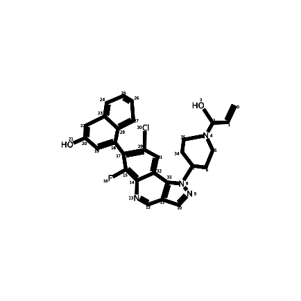 C=CC(O)N1CCC(n2ncc3cnc4c(F)c(-c5cc(O)cc6ccccc56)c(Cl)cc4c32)CC1